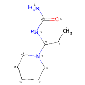 CCC(NC(N)=O)N1CCCCC1